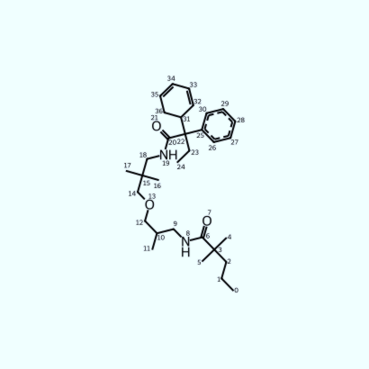 CCCC(C)(C)C(=O)NCC(C)COCC(C)(C)CNC(=O)C(CC)(c1ccccc1)C1C=CC=CC1